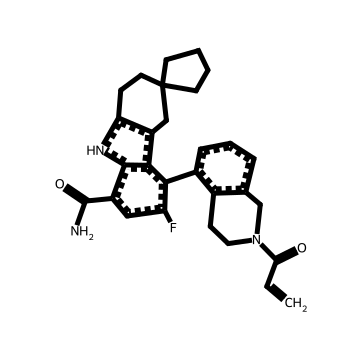 C=CC(=O)N1CCc2c(cccc2-c2c(F)cc(C(N)=O)c3[nH]c4c(c23)CC2(CCCC2)CC4)C1